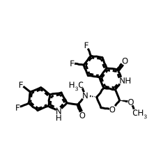 CO[C@H]1OC[C@H](N(C)C(=O)c2cc3cc(F)c(F)cc3[nH]2)c2c1[nH]c(=O)c1cc(F)c(F)cc21